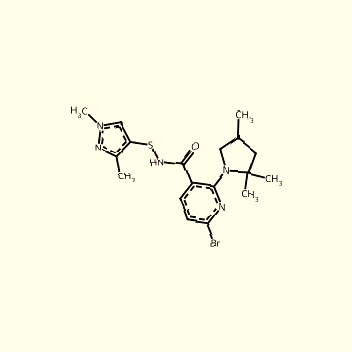 Cc1nn(C)cc1SNC(=O)c1ccc(Br)nc1N1CC(C)CC1(C)C